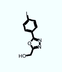 OCc1nnc(-c2ccc(I)cc2)o1